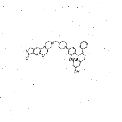 COc1cc(N2CCC(CN3CCN4c5cc6c(cc5OCC4C3)C(=O)N(C)C6)CC2)ccc1C1c2ccc(O)cc2CCC1c1ccccc1